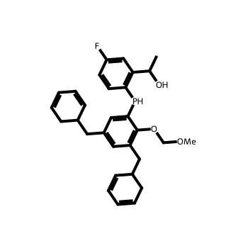 COCOc1c(CC2C=CC=CC2)cc(CC2C=CC=CC2)cc1Pc1ccc(F)cc1C(C)O